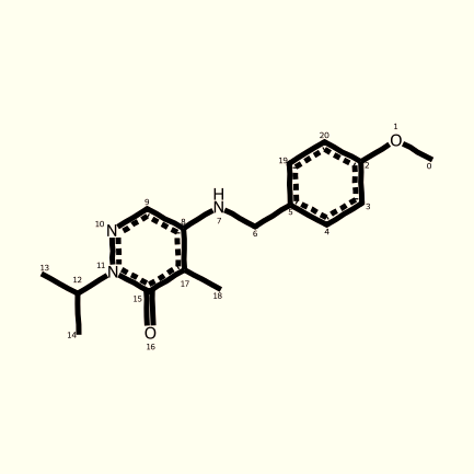 COc1ccc(CNc2cnn(C(C)C)c(=O)c2C)cc1